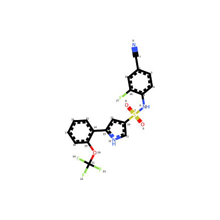 N#Cc1ccc(NS(=O)(=O)c2c[nH]c(-c3ccccc3OC(F)(F)F)c2)c(F)c1